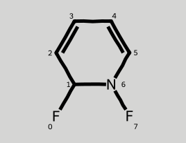 FC1C=CC=CN1F